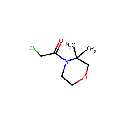 CC1(C)COCCN1C(=O)CCl